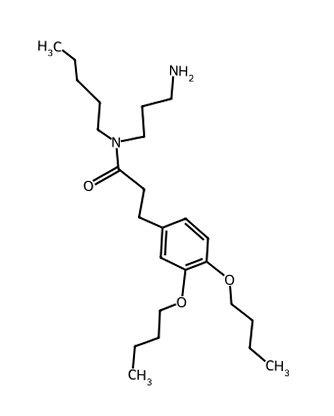 CCCCCN(CCCN)C(=O)CCc1ccc(OCCCC)c(OCCCC)c1